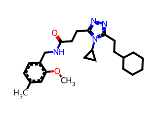 COc1cc(C)ccc1CNC(=O)CCc1nnc(CCC2CCCCC2)n1C1CC1